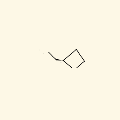 O=C(O)C[C@H]1CCO1